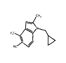 Cc1cc2c(C(F)(F)F)c(C#N)ccc2n1CC1CC1